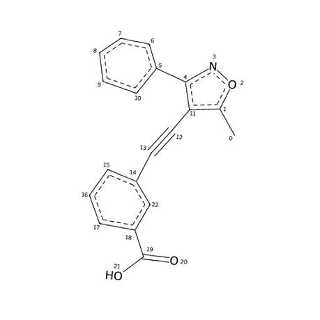 Cc1onc(-c2ccccc2)c1C#Cc1cccc(C(=O)O)c1